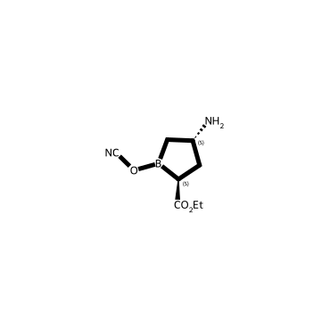 CCOC(=O)[C@@H]1C[C@@H](N)CB1OC#N